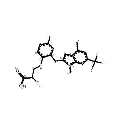 Cc1cc(C(F)(F)F)cc2c1cc(Cc1cc(Cl)ccc1OCC(Cl)C(=O)O)n2C